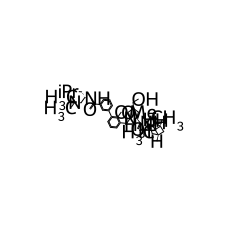 COc1c(CN2O[C@@H](CO)C[C@H]2C(=O)N[C@H]2C[C@H]3C[C@@H]([C@@H]2C)C3(C)C)cccc1-c1cccc(C(=O)N[C@@H](CC(C)C)CN(C)C)c1